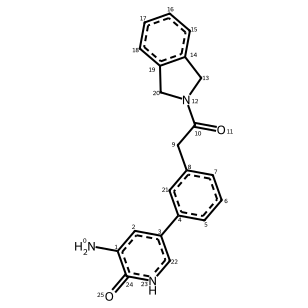 Nc1cc(-c2cccc(CC(=O)N3Cc4ccccc4C3)c2)c[nH]c1=O